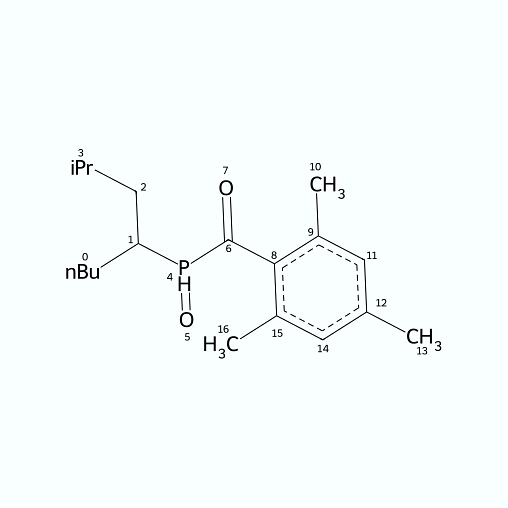 CCCCC(CC(C)C)[PH](=O)C(=O)c1c(C)cc(C)cc1C